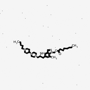 CCCCCCCC(=O)OCn1ncc2cc(C[C@@H](N)CN3CCN(C4CCN(CCCCC)CC4)CC3)cc(C)c21